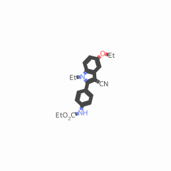 CCOC(=O)Nc1ccc(-c2c(C#N)c3cc(OCC)ccc3n2CC)cc1